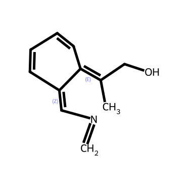 C=N/C=c1/cccc/c1=C(/C)CO